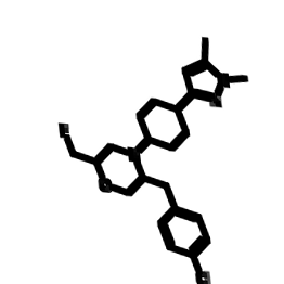 Cc1cc(C2CCC(N3CC(CF)OCC3Cc3ccc(Cl)cc3)CC2)nn1C